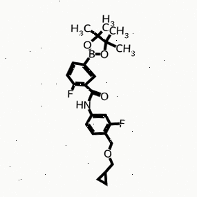 CC1(C)OB(c2ccc(F)c(C(=O)Nc3ccc(COCC4CC4)c(F)c3)c2)OC1(C)C